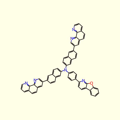 c1cnc2c(c1)ccc1cc(-c3ccc4cc(N(c5ccc(-c6ccc7c(n6)oc6ccccc67)cc5)c5ccc6cc(-c7cnc8c(ccc9cccnc98)c7)ccc6c5)ccc4c3)cnc12